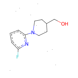 OCC1CCN(c2cccc(F)n2)CC1